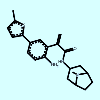 C=C(C(=O)NC1CC2CCC(C1)N2C)c1cc(-c2ccc(C)s2)ccc1N